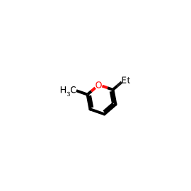 CCC1=C=CC=C(C)O1